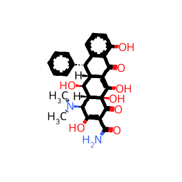 CN(C)[C@@H]1C(O)=C(C(N)=O)C(=O)[C@@]2(O)C(O)=C3C(=O)c4c(O)cccc4[C@@H](c4ccccc4)[C@H]3[C@H](O)[C@@H]12